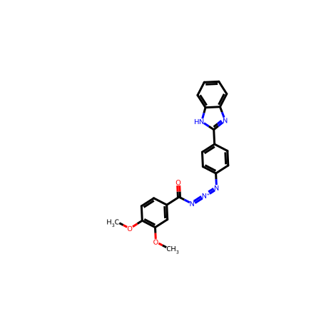 COc1ccc(C(=O)N=[N+]=Nc2ccc(-c3nc4ccccc4[nH]3)cc2)cc1OC